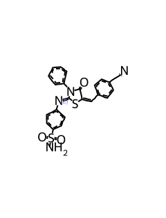 N#Cc1ccc(C=C2S/C(=N\c3ccc(S(N)(=O)=O)cc3)N(c3ccccc3)C2=O)cc1